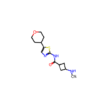 N#CNC1CC(C(=O)Nc2ncc(C3CCOCC3)s2)C1